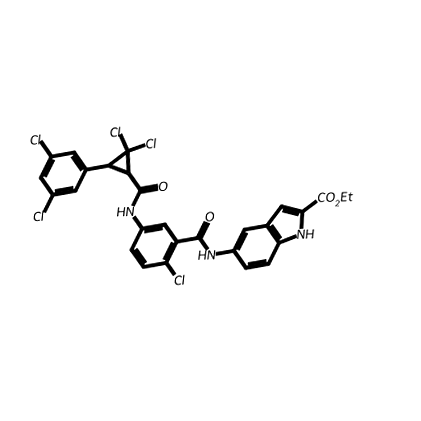 CCOC(=O)c1cc2cc(NC(=O)c3cc(NC(=O)C4C(c5cc(Cl)cc(Cl)c5)C4(Cl)Cl)ccc3Cl)ccc2[nH]1